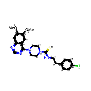 COc1cc2ncnc(N3CCN(C(=S)NCCc4ccc(Cl)cc4)CC3)c2cc1OC